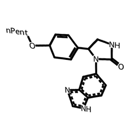 CCCCCOC1C=CC(C2CNC(=O)N2c2ccc3[nH]cnc3c2)=CC1